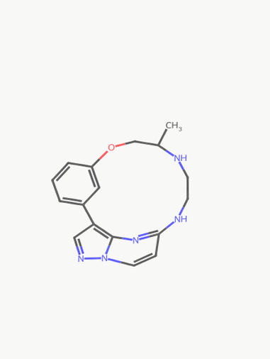 CC1COc2cccc(c2)-c2cnn3ccc(nc23)NCCN1